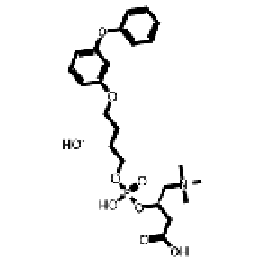 C[N+](C)(C)C[C@@H](CC(=O)O)OP(=O)(O)OCCCCOc1cccc(Oc2ccccc2)c1.[OH-]